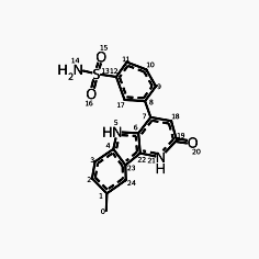 Cc1ccc2[nH]c3c(-c4cccc(S(N)(=O)=O)c4)cc(=O)[nH]c3c2c1